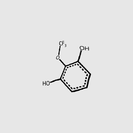 Oc1cccc(O)c1OC(F)(F)F